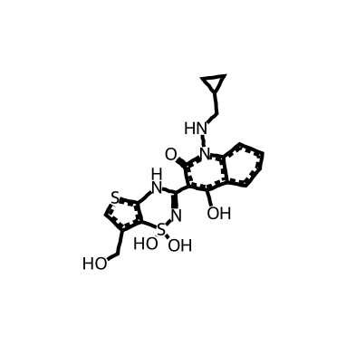 O=c1c(C2=NS(O)(O)c3c(CO)csc3N2)c(O)c2ccccc2n1NCC1CC1